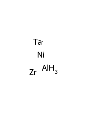 [AlH3].[Ni].[Ta].[Zr]